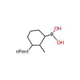 CCCCCC1CCCC(B(O)O)C1C